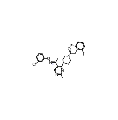 C/C(=N\Oc1cccc(Cl)c1)c1cnc(C)nc1C1CCN(C(=O)Cc2c(F)cccc2F)CC1